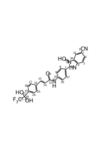 N#Cc1ccc2nc(-c3ccc(NC(=O)/C=C/c4ccc(C(O)(O)C(F)(F)F)cc4)cc3)n(O)c2c1